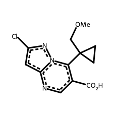 COCC1(c2c(C(=O)O)cnc3cc(Cl)nn23)CC1